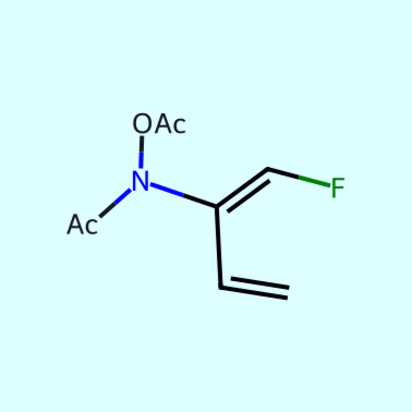 C=CC(=CF)N(OC(C)=O)C(C)=O